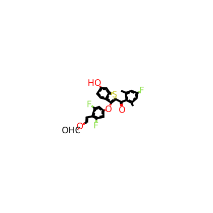 Cc1cc(F)cc(C)c1C(=O)c1sc2cc(O)ccc2c1Oc1cc(F)c(/C=C/OC=O)c(F)c1